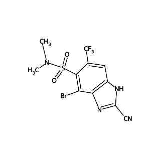 CN(C)S(=O)(=O)c1c(C(F)(F)F)cc2[nH]c(C#N)nc2c1Br